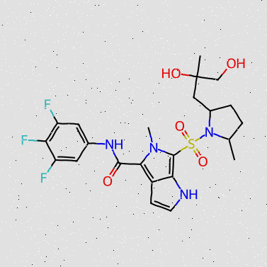 CC1CCC(CC(C)(O)CO)N1S(=O)(=O)c1c2[nH]ccc2c(C(=O)Nc2cc(F)c(F)c(F)c2)n1C